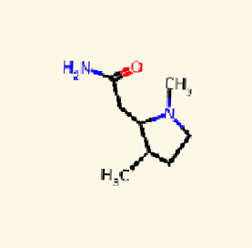 C[C@@H]1CCN(C)C1CC(N)=O